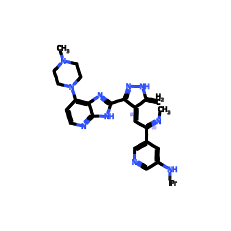 C=c1[nH]nc(-c2nc3c(N4CCN(C)CC4)ccnc3[nH]2)/c1=C/C(=N\C)c1cncc(NC(C)C)c1